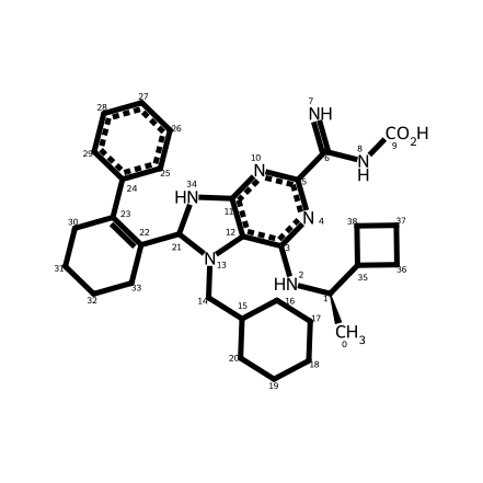 C[C@@H](Nc1nc(C(=N)NC(=O)O)nc2c1N(CC1CCCCC1)C(C1=C(c3ccccc3)CCCC1)N2)C1CCC1